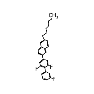 CCCCCCCc1ccc2cc(-c3cc(F)c(-c4cccc(F)c4)c(F)c3)ccc2c1